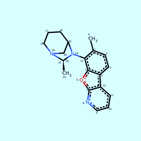 Cc1ccc2c(oc3ncccc32)c1N1C2CCCN(C2)[C@@H]1C